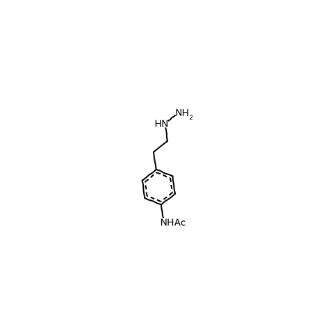 CC(=O)Nc1ccc(CCNN)cc1